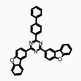 c1ccc(-c2ccc(-c3nc(-c4ccc5oc6ccccc6c5c4)nc(-c4ccc5oc6ccccc6c5c4)n3)cc2)cc1